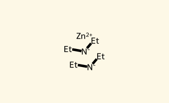 CC[N-]CC.CC[N-]CC.[Zn+2]